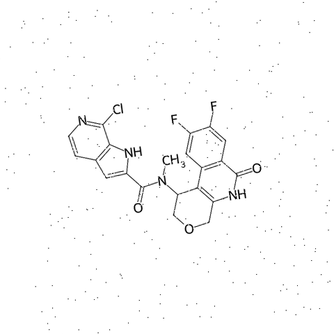 CN(C(=O)c1cc2ccnc(Cl)c2[nH]1)C1COCc2[nH]c(=O)c3cc(F)c(F)cc3c21